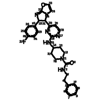 O=C(NCCc1ccccc1)N1CCC(Nc2nccc(C3C(c4ccc(F)cc4)N=C4OC=CN43)n2)CC1